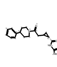 NC(=O)NC(=O)[C@H]1CC1CC(=O)N1CCC(c2ccccc2)CC1